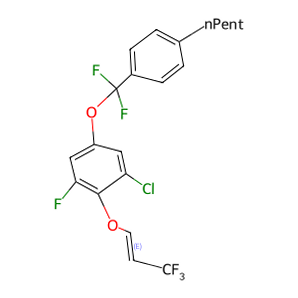 CCCCCc1ccc(C(F)(F)Oc2cc(F)c(O/C=C/C(F)(F)F)c(Cl)c2)cc1